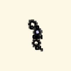 CC1CCCC(C(=O)NC2=C/C=C\C(OC3CCCCCCCC3)=C/C=C\2)CCC1